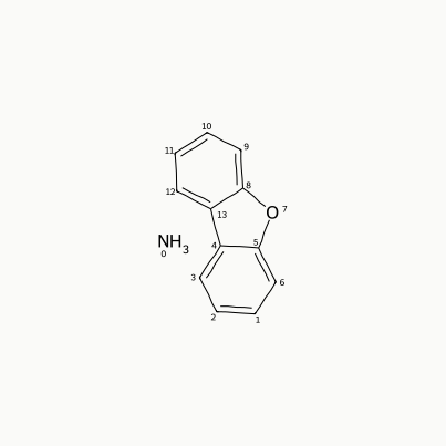 N.c1ccc2c(c1)oc1ccccc12